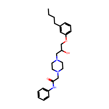 CCCCc1cccc(OCC(O)CN2CCN(CC(=O)Nc3ccccc3)CC2)c1